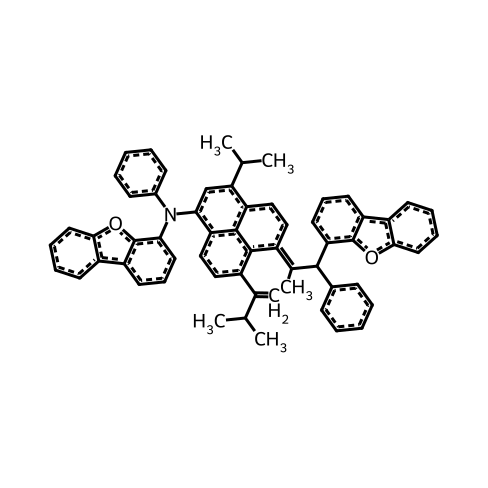 C=C(c1ccc2c(N(c3ccccc3)c3cccc4c3oc3ccccc34)cc(C(C)C)c3cc/c(=C(/C)C(c4ccccc4)c4cccc5c4oc4ccccc45)c1c32)C(C)C